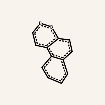 b1bc2ccc3ccccc3c2cc1